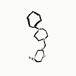 c1ccc(N2CCN(C[C@@H]3CNCCO3)CC2)cc1